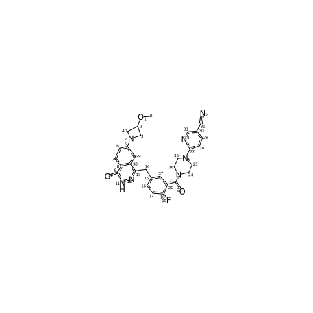 COC1CN(c2ccc3c(=O)[nH]nc(Cc4ccc(F)c(C(=O)N5CCN(c6ccc(C#N)cn6)CC5)c4)c3c2)C1